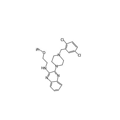 CC(C)OCCNc1nc2ccccc2nc1N1CCN(Cc2cc(Cl)ccc2Cl)CC1